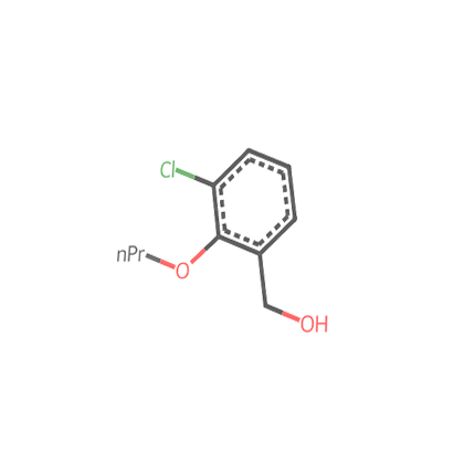 CCCOc1c(Cl)cccc1CO